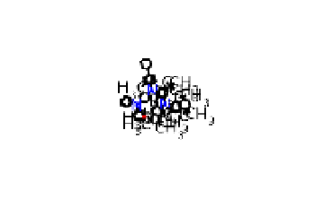 Cc1cc(-c2ccccc2)ccc1N1c2ccc(N(c3ccccc3)c3ccccc3)cc2B2c3cc4c(cc3N(c3cc5c(cc3C)C(C)(C)CCC5(C)C)c3cc(C(C)(C)C)cc1c32)C(C)(C)CC4(C)C